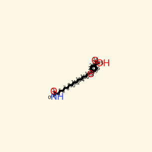 CNC(=O)CCCCCCCCCCCCCCOc1ccc(C(=O)O)cc1